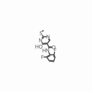 CSc1ncc(C(=O)Nc2c(F)cccc2F)c(O)n1